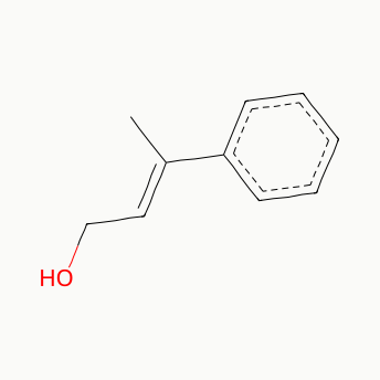 CC(=CCO)c1ccccc1